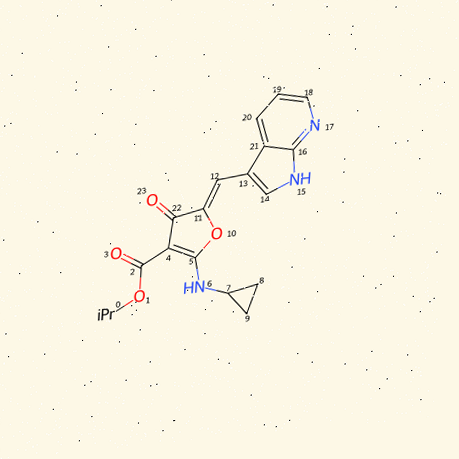 CC(C)OC(=O)C1=C(NC2CC2)OC(=Cc2c[nH]c3ncccc23)C1=O